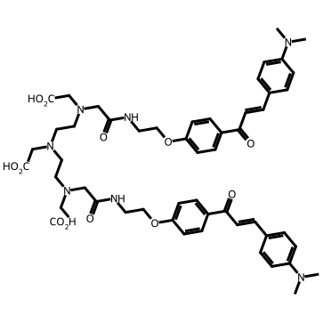 CN(C)c1ccc(/C=C/C(=O)c2ccc(OCCNC(=O)CN(CCN(CCN(CC(=O)O)CC(=O)NCCOc3ccc(C(=O)/C=C/c4ccc(N(C)C)cc4)cc3)CC(=O)O)CC(=O)O)cc2)cc1